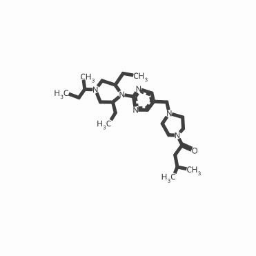 CCC(C)N1CC(CC)N(c2ncc(CN3CCN(C(=O)CC(C)C)CC3)cn2)C(CC)C1